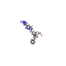 C[C@H]1CC(Cn2ccc3cc(-c4cn[nH]c4)ncc32)CN1C(=O)CCc1ccccc1